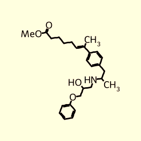 COC(=O)CCCCC=C(C)c1ccc(CC(C)NCC(O)COc2ccccc2)cc1